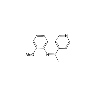 COc1ccccc1N=C(C)c1ccncc1